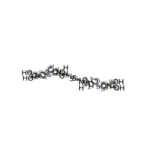 O=C(C[n+]1ccc2c(c1)CCC/C2=C\c1ccc(N2CC(O)C(O)C2)cc1)NCCSSCCNC(=O)C[n+]1ccc2c(c1)CCC/C2=C\c1ccc(N2CC(O)C(O)C2)cc1